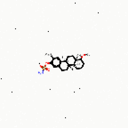 CCOC1CCC[C@H]2[C@@H]3CCc4cc(OS(N)(=O)=O)c(OC)cc4[C@H]3CC[C@]12C